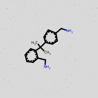 CC(C)(c1ccc(CN)cc1)c1ccccc1CN